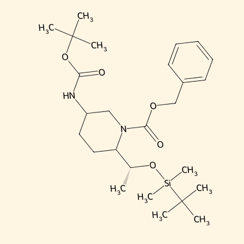 C[C@@H](O[Si](C)(C)C(C)(C)C)C1CCC(NC(=O)OC(C)(C)C)CN1C(=O)OCc1ccccc1